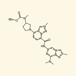 Cc1cn2cc(NC(=O)c3ccc(N4CCC(N(C)C(=O)OC(C)(C)C)C4)c4cn(C)nc34)nc(N(C)C)c2n1